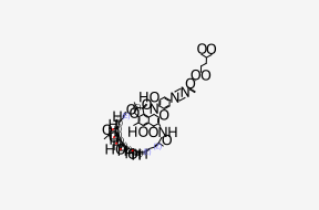 C=C(OCOC(=O)CCC(C=O)C=O)N1CCN(c2cc(O)c3nc4c5c6c7c(C)c(O)c5c(=O)c(c-4oc3c2)NC(=O)/C(C)=C\C=C\[C@H](C)[C@H](O)[C@@H](C)[C@@H](O)[C@@H](C)[C@H](OC(C)=O)[C@H](C)[C@@H](C)/C=C/O[C@@](C)(O7)C6=O)CC1